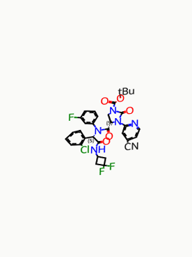 CC(C)(C)OC(=O)N1C[C@@H](C(=O)N(c2cccc(F)c2)[C@H](C(=O)NC2CC(F)(F)C2)c2ccccc2Cl)N(c2cc(C#N)ccn2)C1=O